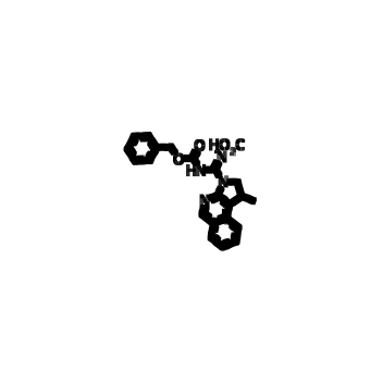 CC1CN(/C(=N/C(=O)O)NC(=O)OCc2ccccc2)c2ncc3ccccc3c21